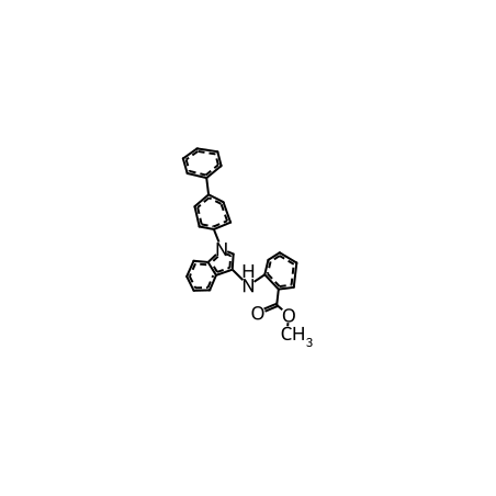 COC(=O)c1ccccc1Nc1cn(-c2ccc(-c3ccccc3)cc2)c2ccccc12